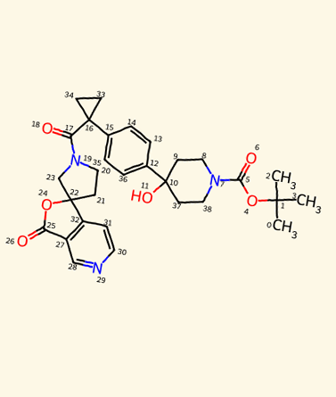 CC(C)(C)OC(=O)N1CCC(O)(c2ccc(C3(C(=O)N4CCC5(C4)OC(=O)c4cnccc45)CC3)cc2)CC1